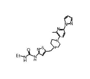 CCNC(=O)Nc1cc(CN2CCN(c3ccc(-n4cccn4)nc3C)CC2)sn1